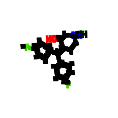 Cl.OC1CNCCC1=C(c1ccc(F)cc1)c1ccc(F)cc1